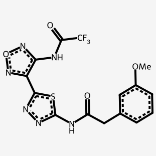 COc1cccc(CC(=O)Nc2nnc(-c3nonc3NC(=O)C(F)(F)F)s2)c1